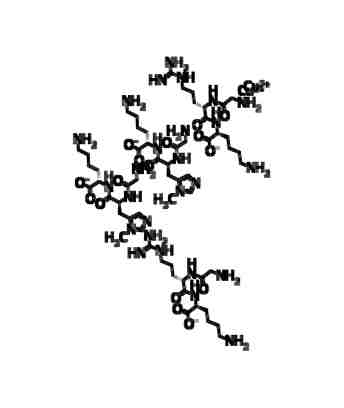 Cn1cncc1C[C@H](NC(=O)CN)C(=O)N[C@@H](CCCCN)C(=O)[O-].Cn1cncc1C[C@H](NC(=O)CN)C(=O)N[C@@H](CCCCN)C(=O)[O-].N=C(N)NCCC[C@H](NC(=O)CN)C(=O)N[C@@H](CCCCN)C(=O)[O-].N=C(N)NCCC[C@H](NC(=O)CN)C(=O)N[C@@H](CCCCN)C(=O)[O-].[Cu+2].[Cu+2]